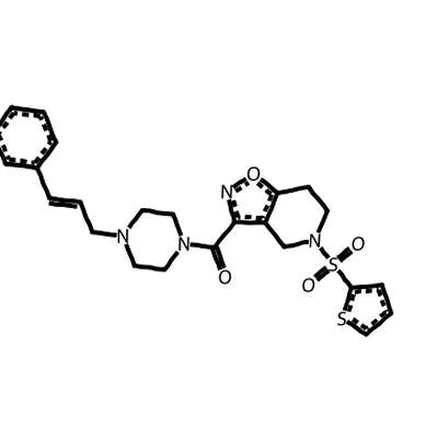 O=C(c1noc2c1CN(S(=O)(=O)c1cccs1)CC2)N1CCN(C/C=C/c2ccccc2)CC1